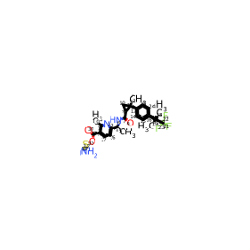 Cc1nc([C@@H](C)NC(=O)C2CC2(C)c2ccc(C(C)(C)C(F)(F)F)cc2)ccc1C(=O)OSN